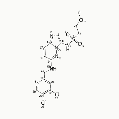 COCCS(=O)(=O)Nc1cnc2ccc(NCc3ccc(Cl)c(Cl)c3)nn12